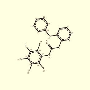 O=C(Cc1ccccc1Sc1ccccc1)Oc1c(F)c(F)c(F)c(F)c1F